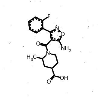 CC1CC(C(=O)O)CCN1C(=O)c1c(-c2ccccc2F)noc1N